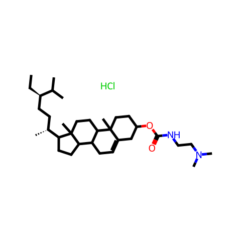 CC[C@H](CC[C@@H](C)C1CCC2C3CC=C4CC(OC(=O)NCCN(C)C)CCC4(C)C3CCC21C)C(C)C.Cl